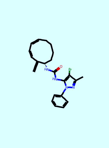 C=C1/C=C\C=C/CCCC[C@@H]1NC(=O)Nc1c(Br)c(C)nn1-c1ccccc1